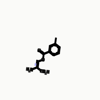 Cc1cccc(C(=O)O/N=C(/N)C(=O)O)c1